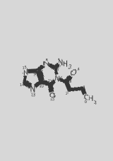 CCCC(=O)n1c(N)nc2c(c1=O)N=C[N]2